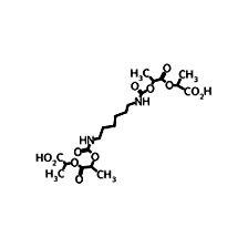 CC(OC(=O)C(C)OC(=O)NCCCCCCNC(=O)OC(C)C(=O)OC(C)C(=O)O)C(=O)O